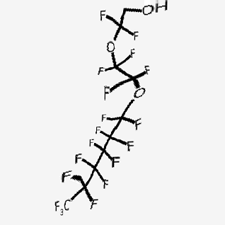 OCC(F)(F)OC(F)(F)C(F)(F)OC(F)(F)C(F)(F)C(F)(F)C(F)(F)C(F)(F)C(F)(F)F